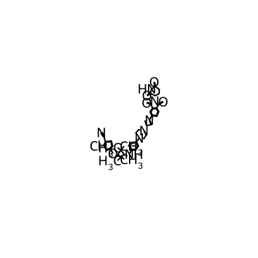 CC1(C)[C@H](Nc2ccc(N3CCN(C4CN(c5ccc6c(c5)C(=O)N(C5CCC(=O)NC5=O)C6=O)C4)CC3)cc2)C(C)(C)[C@H]1Oc1ccc(C#N)c(Cl)c1